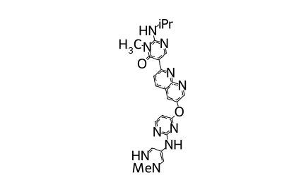 CN/C=C(\C=N)Nc1nccc(Oc2cnc3nc(-c4cnc(NC(C)C)n(C)c4=O)ccc3c2)n1